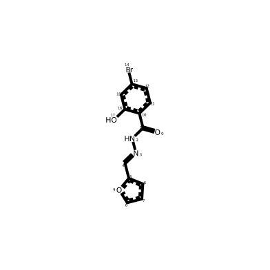 O=C(N/N=C/c1ccco1)c1ccc(Br)cc1O